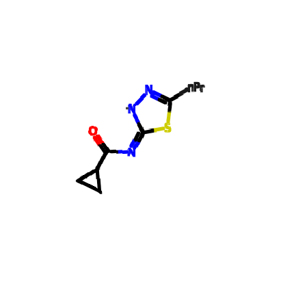 CCCC1=N[N]C(=NC(=O)C2CC2)S1